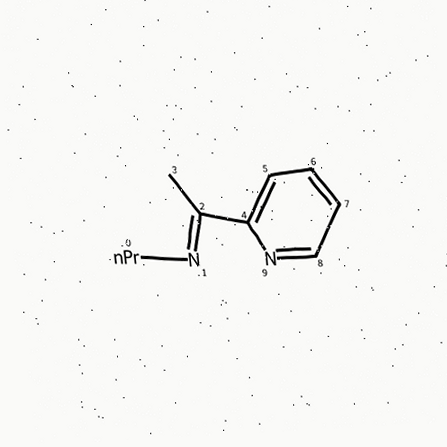 CCCN=C(C)c1ccccn1